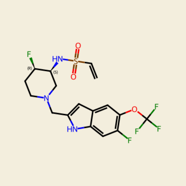 C=CS(=O)(=O)N[C@H]1CN(Cc2cc3cc(OC(F)(F)F)c(F)cc3[nH]2)CC[C@H]1F